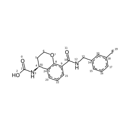 O=C(O)N[C@H]1CCOc2c(C(=O)NCc3cccc(F)c3)cccc21